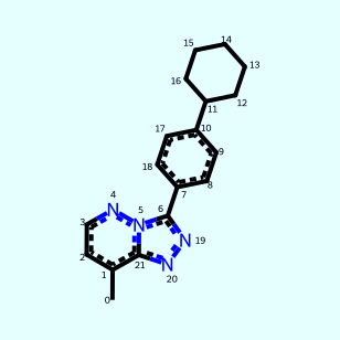 Cc1ccnn2c(-c3ccc(C4CCCCC4)cc3)nnc12